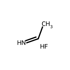 CC=N.F